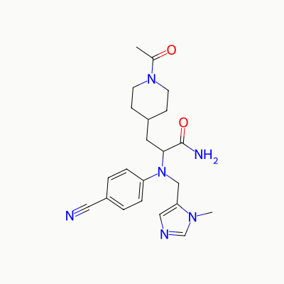 CC(=O)N1CCC(CC(C(N)=O)N(Cc2cncn2C)c2ccc(C#N)cc2)CC1